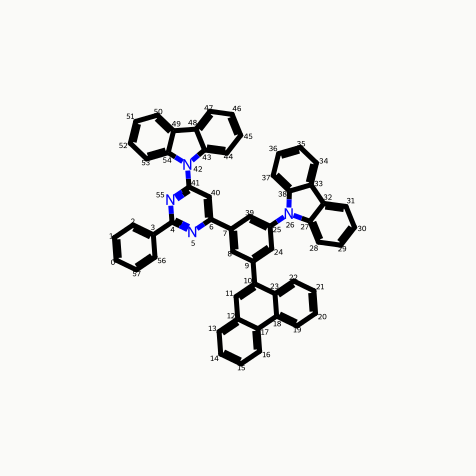 c1ccc(-c2nc(-c3cc(-c4cc5ccccc5c5ccccc45)cc(-n4c5ccccc5c5ccccc54)c3)cc(-n3c4ccccc4c4ccccc43)n2)cc1